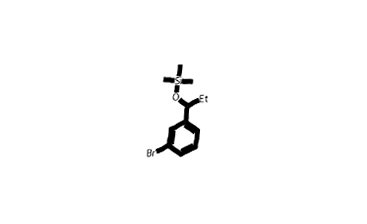 CCC(O[Si](C)(C)C)c1cccc(Br)c1